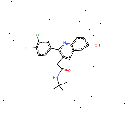 CC(C)(C)NC(=O)Cc1cc2cc(O)ccc2nc1-c1ccc(F)c(Cl)c1